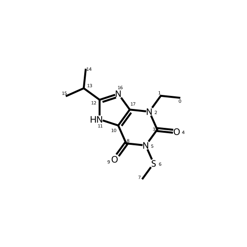 CCn1c(=O)n(SC)c(=O)c2[nH]c(C(C)C)nc21